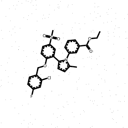 CCOC(=O)c1cccc(-n2c(C)ccc2-c2cc(S(C)(=O)=O)ccc2OCc2ccc(F)cc2Cl)c1